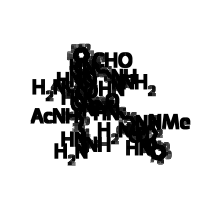 CN[C@@H](Cc1c[nH]c2ccccc12)C(=O)NC(CCCNC(=O)CCC(NC(=O)[C@H](CCCNC(=N)N)NC(C)=O)C(=O)N[C@@H](CCN)C(=O)NC(Cc1ccccc1)C(=O)N[C@H](C=O)CCCNC(=N)N)C(N)=O